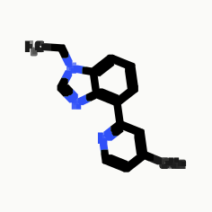 COc1ccnc(-c2cccc3c2ncn3CC(F)(F)F)c1